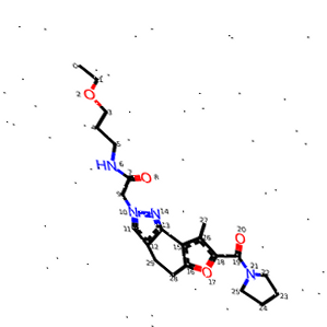 CCOCCCNC(=O)Cn1cc2c(n1)-c1c(oc(C(=O)N3CCCC3)c1C)CC2